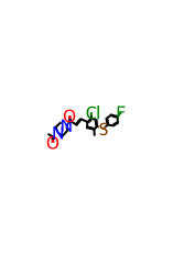 CC(=O)N1CCN(C(=O)/C=C/c2cc(C)c(Sc3ccc(F)cc3)cc2Cl)CC1